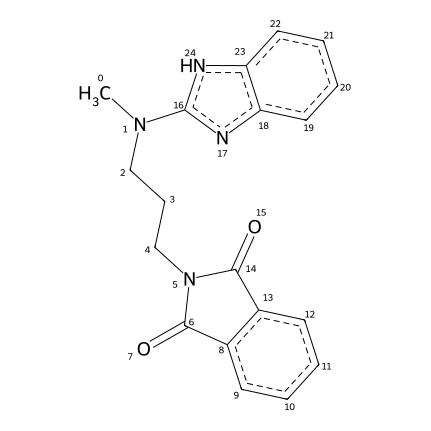 CN(CCCN1C(=O)c2ccccc2C1=O)c1nc2ccccc2[nH]1